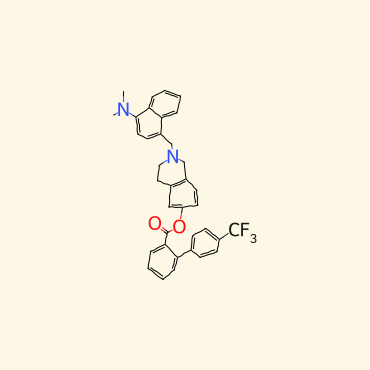 CN(C)c1ccc(CN2CCc3cc(OC(=O)c4ccccc4-c4ccc(C(F)(F)F)cc4)ccc3C2)c2ccccc12